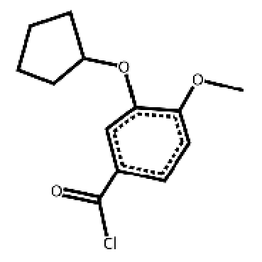 COc1ccc(C(=O)Cl)cc1OC1CCCC1